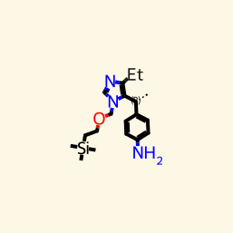 CCc1ncn(COCC[Si](C)(C)C)c1[C@H](C)c1ccc(N)cc1